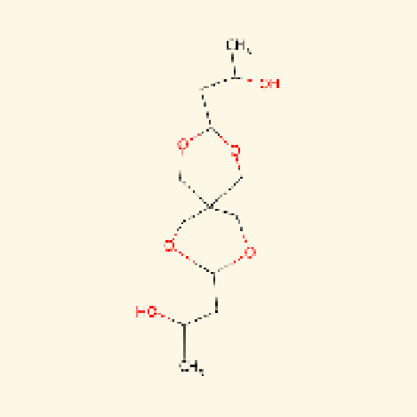 CC(O)CC1OCC2(CO1)COC(CC(C)O)OC2